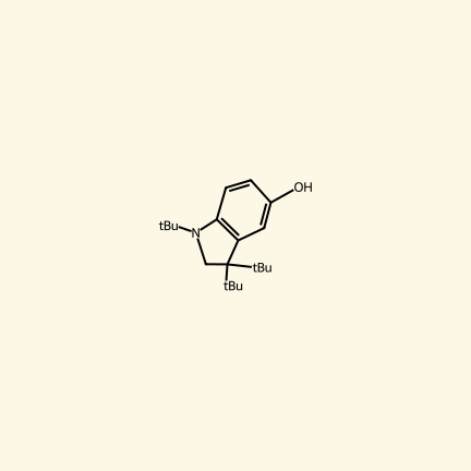 CC(C)(C)N1CC(C(C)(C)C)(C(C)(C)C)c2cc(O)ccc21